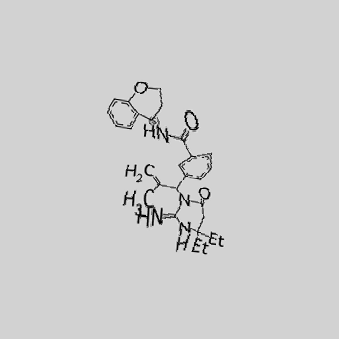 C=C(C)C(c1cccc(C(=O)N[C@H]2CCOc3ccccc32)c1)N1C(=N)NC(CC)(CC)CC1=O